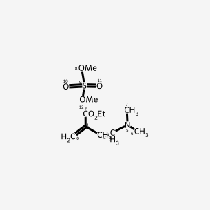 C=C(C)C(=O)OCC.CN(C)C.COS(=O)(=O)OC